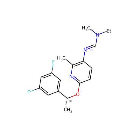 CCN(C)/C=N/c1ccc(O[C@H](C)c2cc(F)cc(F)c2)nc1C